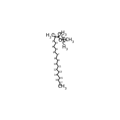 C=C(CCCCCCCCCCCCCCCCC)C(=O)OC(C)(C)C